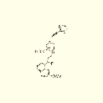 COc1ccc2nccc(C(F)CC[C@@H]3CCN(CC#Cc4nccs4)C[C@@H]3C(=O)O)c2c1